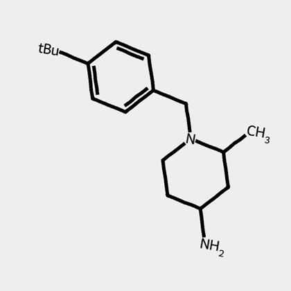 CC1CC(N)CCN1Cc1ccc(C(C)(C)C)cc1